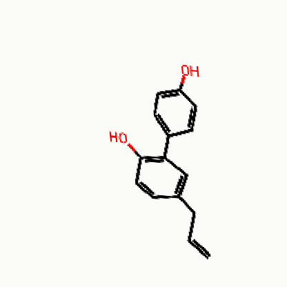 C=CCc1ccc(O)c(-c2ccc(O)cc2)c1